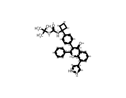 CC(C)(C)OC(=O)NC1(c2ccc(-c3c(-c4ccccc4)oc4c(-c5cn[nH]c5)cccc4c3=O)cc2)CCC1